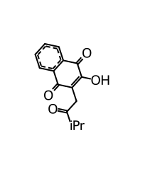 CC(C)C(=O)CC1=C(O)C(=O)c2ccccc2C1=O